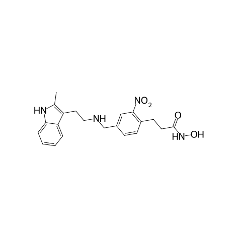 Cc1[nH]c2ccccc2c1CCNCc1ccc(CCC(=O)NO)c([N+](=O)[O-])c1